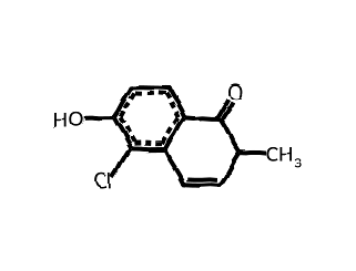 CC1C=Cc2c(ccc(O)c2Cl)C1=O